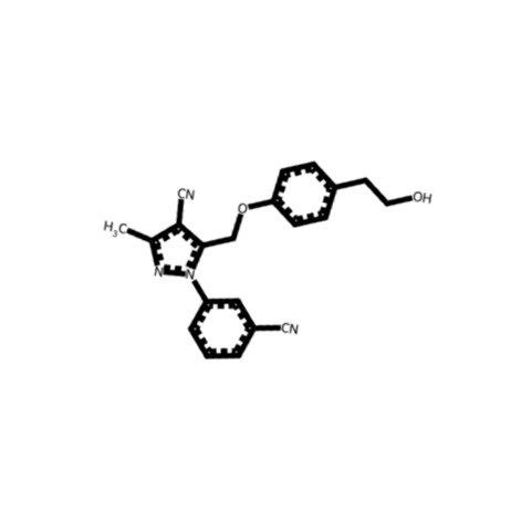 Cc1nn(-c2cccc(C#N)c2)c(COc2ccc(CCO)cc2)c1C#N